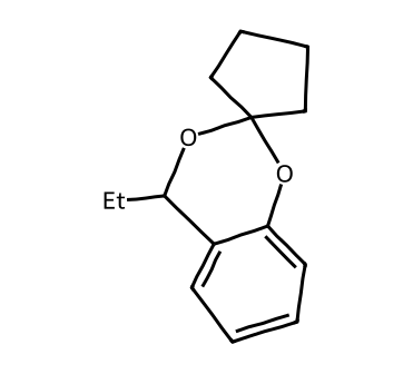 [CH2]CC1OC2(CCCC2)Oc2ccccc21